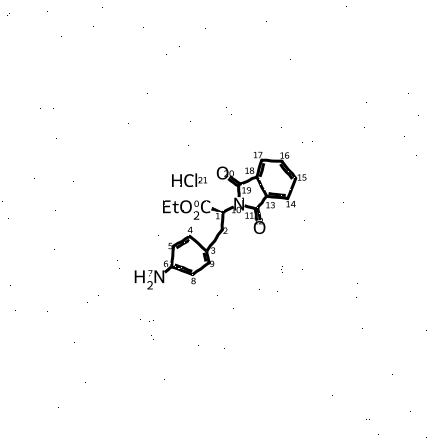 CCOC(=O)[C@H](Cc1ccc(N)cc1)N1C(=O)c2ccccc2C1=O.Cl